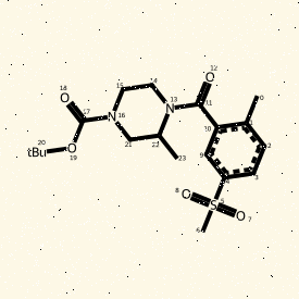 Cc1ccc(S(C)(=O)=O)cc1C(=O)N1CCN(C(=O)OC(C)(C)C)CC1C